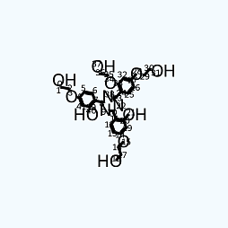 OCCOc1ccc(-c2nc(-c3ccc(OCCO)cc3O)nc(-c3ccc(OCCO)cc3OCCO)n2)c(O)c1